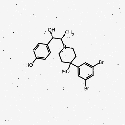 C[C@H]([C@H](O)c1ccc(O)cc1)N1CCC(O)(c2cc(Br)cc(Br)c2)CC1